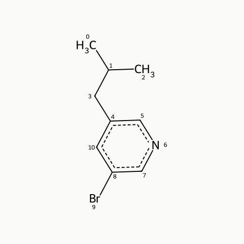 CC(C)Cc1cncc(Br)c1